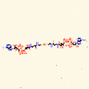 CC(C)(COP(=O)(O)OP(=O)(O)OC[C@H]1O[C@@H](n2cnc3c(N)ncnc32)[C@H](O)[C@@H]1OP(=O)(O)O)[C@@H](O)C(=O)NCCC(=O)NCCSOOSCCNC(=O)CCNC(=O)[C@H](O)C(C)(C)COP(=O)(O)OP(=O)(O)OC[C@H]1O[C@@H](n2cnc3c(N)ncnc32)[C@H](O)[C@@H]1OP(=O)(O)O